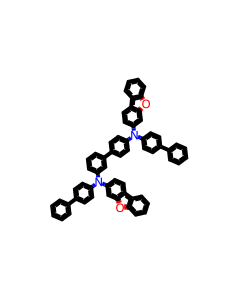 c1ccc(-c2ccc(N(c3ccc(-c4cccc(N(c5ccc(-c6ccccc6)cc5)c5ccc6c(c5)oc5ccccc56)c4)cc3)c3ccc4c(c3)oc3ccccc34)cc2)cc1